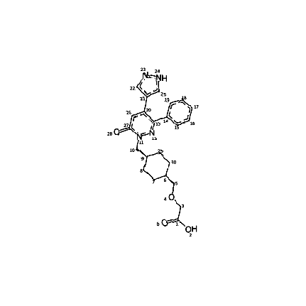 O=C(O)COC[C@H]1CC[C@@H](Cn2nc(-c3ccccc3)c(-c3cn[nH]c3)cc2=O)CC1